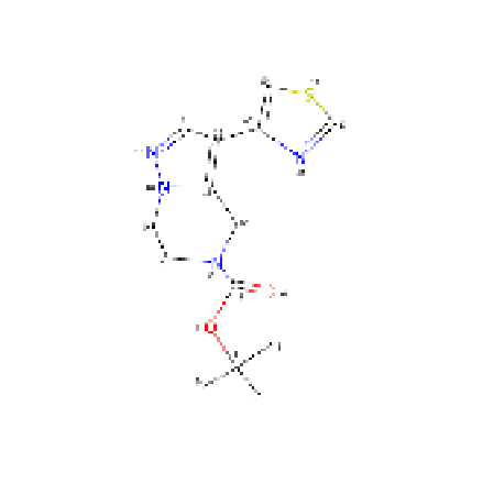 CC(C)(C)OC(=O)N1CCn2ncc(-c3cscn3)c2C1